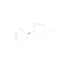 CN1CC[C@H](c2cc[c]cc2)C1